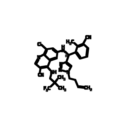 C=CCCn1cc([C@@H](Nc2cc(Cl)c3ncc(C#N)c(NCC(C)(C)C(F)(F)F)c3c2)c2cccc(C#N)c2C)nn1